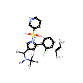 O=C(O)/C=C/C(=O)O.[2H]C([2H])([2H])N(CC)C(CC)c1cc(-c2ccccc2F)n(S(=O)(=O)c2cccnc2)c1